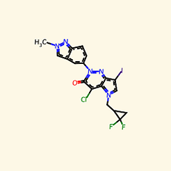 Cn1cc2cc(-n3nc4c(I)cn(CC5CC5(F)F)c4c(Cl)c3=O)ccc2n1